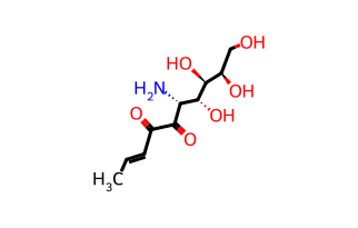 C/C=C/C(=O)C(=O)[C@H](N)[C@@H](O)[C@@H](O)[C@H](O)CO